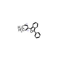 C/C=C\C(=C/C)c1oc(-c2ccccc2)c2ccccc12